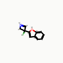 FC1(c2cc3ccccc3o2)C=NC1